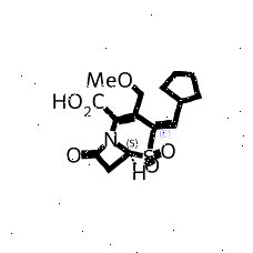 COCC1=C(C(=O)O)N2C(=O)C[C@@H]2S(=O)(=O)/C1=C/C1CCCC1